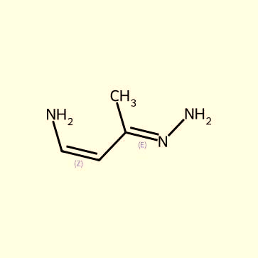 CC(/C=C\N)=N\N